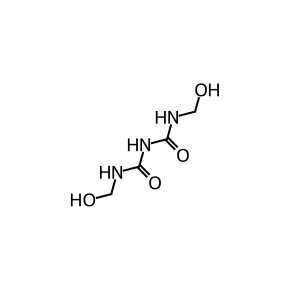 O=C(NCO)NC(=O)NCO